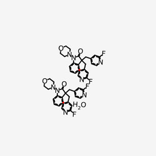 O.O=C1N(N2CCOCC2)c2ccccc2C1(Cc1ccnc(F)c1)Cc1ccnc(F)c1.O=C1N(N2CCOCC2)c2ccccc2C1(Cc1ccnc(F)c1)Cc1ccnc(F)c1